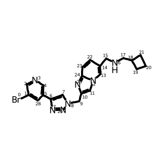 Brc1cncc(-c2cn(Cc3cn4cc(CNCC5CCC5)ccc4n3)nn2)c1